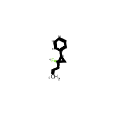 C=C[CH]C1(F)CC1c1ccccc1